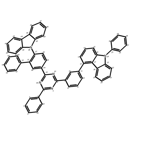 c1ccc(-c2nc(-c3cccc(-c4cccc5c4c4ccccc4n5-c4ccccc4)c3)nc(-c3ccc(-n4c5ccccc5c5ccccc54)c(-c4ccccc4)c3)n2)cc1